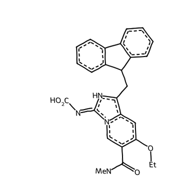 CCOc1cc2c(CC3c4ccccc4-c4ccccc43)[nH]c(=NC(=O)O)n2cc1C(=O)NC